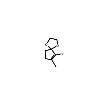 CC1=C(Br)C2(CC1)OCCO2